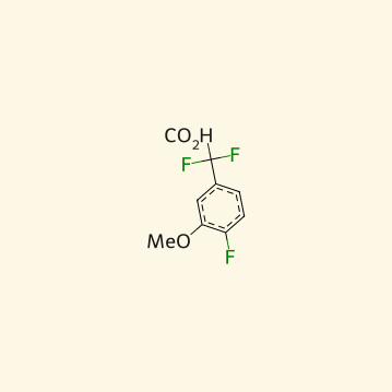 COc1cc(C(F)(F)C(=O)O)ccc1F